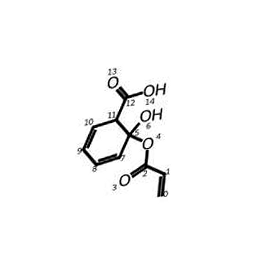 C=CC(=O)OC1(O)C=CC=CC1C(=O)O